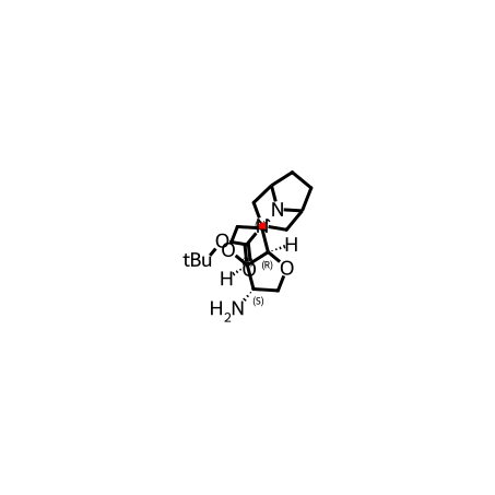 CC(C)(C)OC(=O)N1CC2CCC(C1)N2[C@H]1CO[C@H]2[C@@H]1OC[C@@H]2N